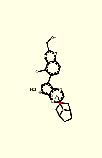 Cl.NC1CC2CCC(C1)N2c1cnc2c(-c3ccc4nc(CO)sc4c3Cl)c[nH]c2n1